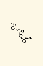 COc1ccccc1N1CCN(CC(C)COSc2cccc3c2OCCC3)CC1